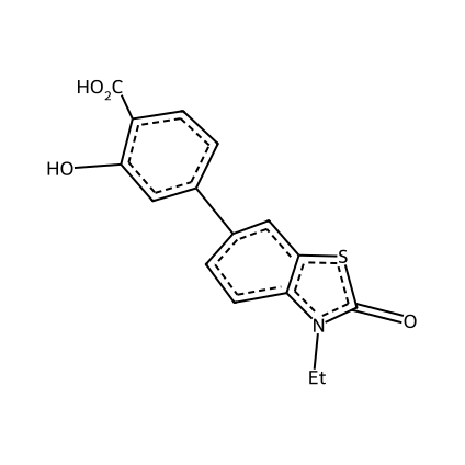 CCn1c(=O)sc2cc(-c3ccc(C(=O)O)c(O)c3)ccc21